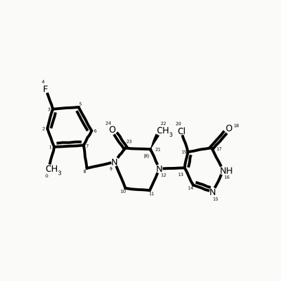 Cc1cc(F)ccc1CN1CCN(c2cn[nH]c(=O)c2Cl)[C@H](C)C1=O